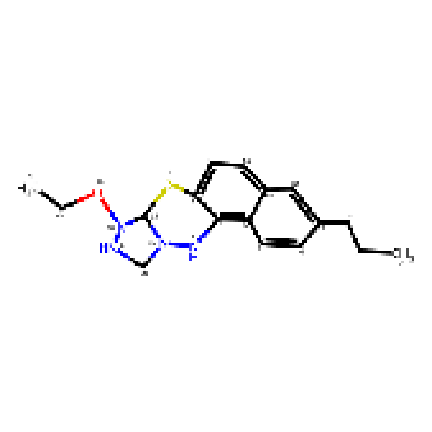 CCCc1ccc2c3c(ccc2c1)SC1N(CNN1OCC)N3